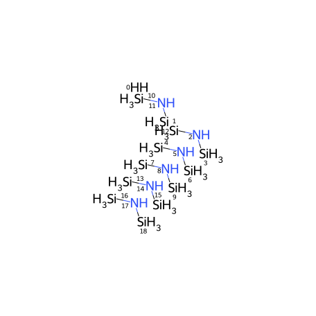 [HH].[SiH3]N[SiH3].[SiH3]N[SiH3].[SiH3]N[SiH3].[SiH3]N[SiH3].[SiH3]N[SiH3].[SiH3]N[SiH3]